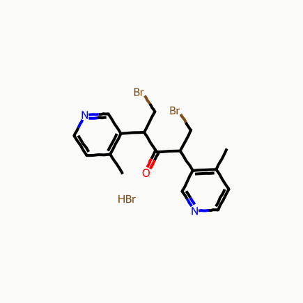 Br.Cc1ccncc1C(CBr)C(=O)C(CBr)c1cnccc1C